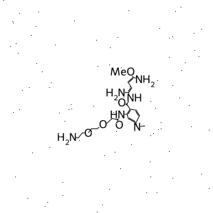 CO/C(N)=C/C=C(\N)NC(=O)c1ccc(N(C)C)cc1NC(=O)CCOCCOCCN